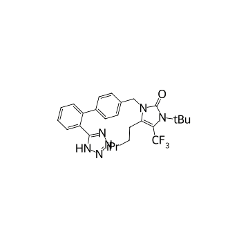 CC(C)CCc1c(C(F)(F)F)n(C(C)(C)C)c(=O)n1Cc1ccc(-c2ccccc2-c2nnn[nH]2)cc1